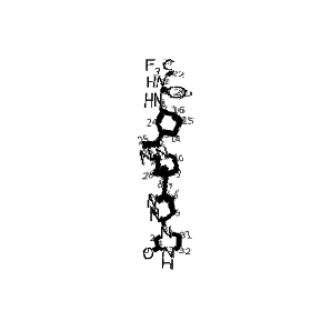 O=C1CN(c2ccc(-c3ccn4c(-c5cccc(NC(=O)NCC(F)(F)F)c5)cnc4c3)nn2)CCN1